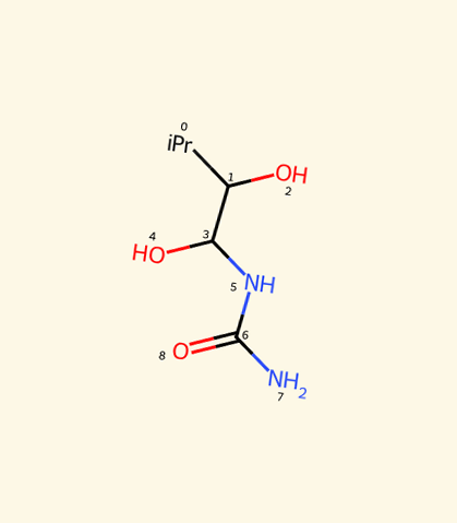 CC(C)C(O)C(O)NC(N)=O